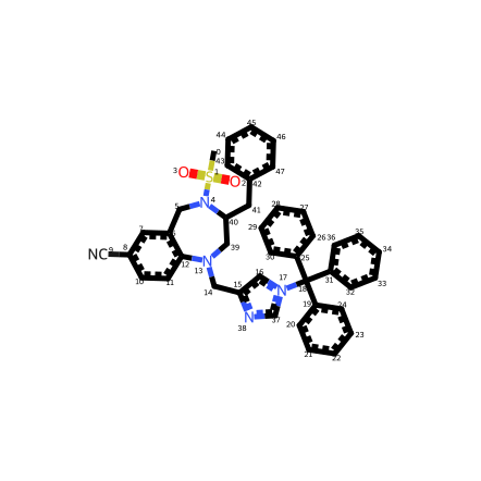 CS(=O)(=O)N1Cc2cc(C#N)ccc2N(Cc2cn(C(c3ccccc3)(c3ccccc3)c3ccccc3)cn2)CC1Cc1ccccc1